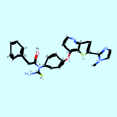 Cn1ccnc1-c1cc2nccc(Oc3ccc(N(C(=O)Cc4ccccc4)C(N)=S)cc3)c2s1